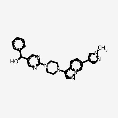 Cn1cc(-c2ccc3c(N4CCN(c5ncc(C(O)c6ccccc6)cn5)CC4)cnn3c2)cn1